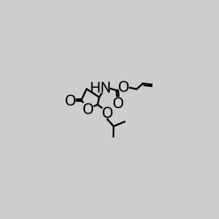 C=CCOC(=O)NC1CC(=O)OC1OCC(C)C